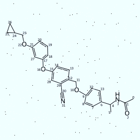 CC(=O)NC(C)c1ccc(OCc2ccc(Oc3cccc(OCC4CC4)c3)cc2C#N)cc1